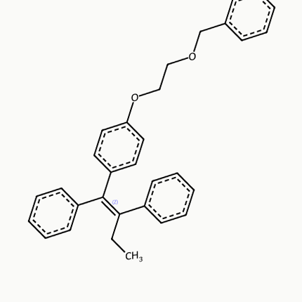 CC/C(=C(\c1ccccc1)c1ccc(OCCOCc2ccccc2)cc1)c1ccccc1